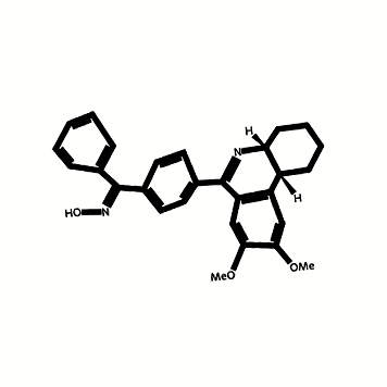 COc1cc2c(cc1OC)[C@H]1CCCC[C@H]1N=C2c1ccc(C(=NO)c2ccccc2)cc1